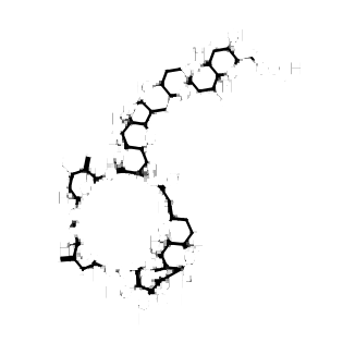 C=C1C[C@@H]2CC[C@]34OC([C@@H]5O[C@H]6CC[C@H](CC(=O)C[C@@H]7CC8OC9C(C[C@@H]%10O[C@@]%11(CC[C@@H]%10O)C[C@H](C)[C@@H]%10O[C@H](CC(=O)O)[C@H](O)C[C@@H]%10O%11)CO[C@@H]9C[C@@H]8O[C@H]7C[C@H]7O[C@@H](CC[C@@H]1O2)C[C@@H](C)C7=C)O[C@@H]6[C@H](O3)[C@@H]5C)C(O)(O)[C@H]4O